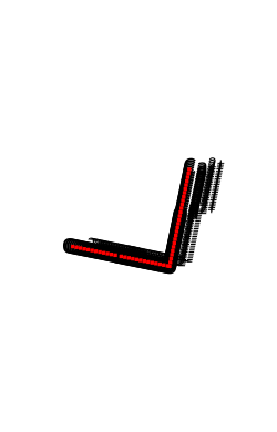 [Ca+2].[Ca+2].[Ca+2].[Ca+2].[Ca+2].[Ca+2].[Ca+2].[Ca+2].[Ca+2].[Ca+2].[Ca+2].[Ca+2].[Ca+2].[Ca+2].[Ca+2].[Ca+2].[Ca+2].[Ca+2].[Ca+2].[Ca+2].[Ca+2].[Ca+2].[Ca+2].[Ca+2].[Ca+2].[Ca+2].[Ca+2].[Ca+2].[Ca+2].[Ca+2].[Ca+2].[Ca+2].[Ca+2].[Ca+2].[Ca+2].[Ca+2].[Ca+2].[Ca+2].[Ca+2].[Ca+2].[Ca+2].[Ca+2].[Ca+2].[Ca+2].[Ca+2].[Ca+2].[Ca+2].[Ca+2].[Ca+2].[Ca+2].[O-2].[O-2].[O-2].[O-2].[O-2].[O-2].[O-2].[O-2].[O-2].[O-2].[O-2].[O-2].[O-2].[O-2].[O-2].[O-2].[O-2].[O-2].[O-2].[O-2].[O-2].[O-2].[O-2].[O-2].[O-2].[O-2].[O-2].[O-2].[O-2].[O-2].[O-2].[O-2].[O-2].[O-2].[O-2].[O-2].[O-2].[O-2].[O-2].[O-2].[O-2].[O-2].[O-2].[O-2].[O-2].[O-2].[O-2].[O-2].[O-2].[O-2].[O-2].[O-2].[O-2].[O-2].[O-2]